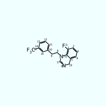 Fc1cccc2c1N(CCc1cccc(C(F)(F)F)c1)C=NC2